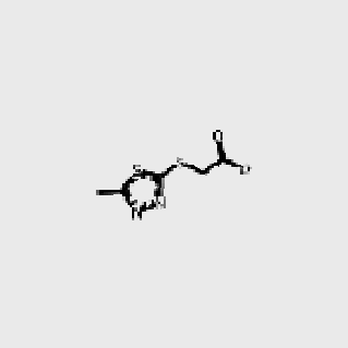 Cc1nnc(SCC([O])=O)s1